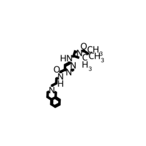 CC(C)(C)C(=O)N1CC(Nc2cc(C(=O)NCCCN3CCc4ccccc4C3)ncn2)C1